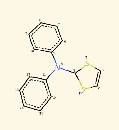 C1=CSC(N(c2ccccc2)c2ccccc2)S1